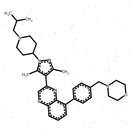 C[C](C)CN1CCC(n2nc(C)c(-c3cnc4cccc(-c5ccc(CN6CCOCC6)cc5)c4n3)c2C)CC1